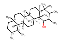 CC1C(C)C(C)(C)[C@@H]2CC[C@]3(C)[C@H](CC[C@@H]4[C@@H]5[C@@H](C)[C@H](C)CC[C@]5(C)CC[C@]43C)[C@@]2(C)C1O